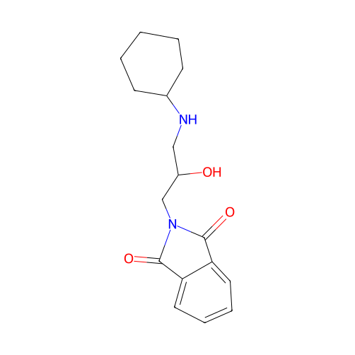 O=C1c2ccccc2C(=O)N1CC(O)CNC1CCCCC1